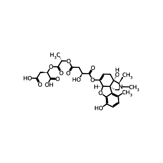 Cc1ccc(O)c2c1[C@]13CCN(C)[C@H](C)[C@]1(O)CC=C(OC(=O)[C@@H](O)CC(=O)O[C@@H](C)C(=O)O[C@H](CC(=O)O)C(=O)O)[C@@H]3O2